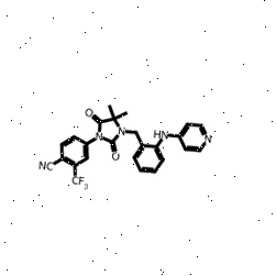 CC1(C)C(=O)N(c2ccc(C#N)c(C(F)(F)F)c2)C(=O)N1Cc1ccccc1Nc1ccncc1